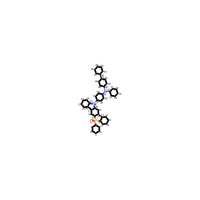 O=P1(c2ccccc2)c2ccccc2-c2cc3c(cc21)c1ccccc1n3-c1ccc(N(c2ccccc2)c2ccc(-c3ccccc3)cc2)cc1